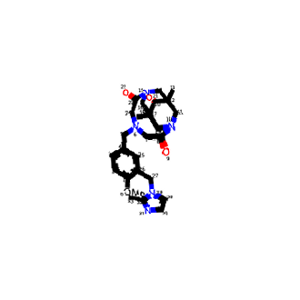 COc1ccc(CN2CC(=O)N3CC4(C)CN(CC(C)(C3)C4=O)C(=O)C2)cc1Cn1ccnc1C